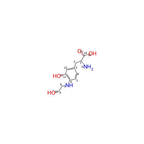 NC(Cc1ccc(NCCO)c(O)c1)C(=O)O